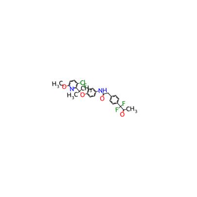 COc1ccc(Cl)c(C(C)(C)Oc2ccc(NC(=O)Cc3ccc(C(F)(F)C(C)=O)cc3)cc2F)n1